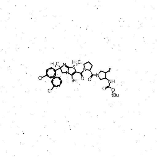 CC(C)C1=C(C(=O)N2[C@H](C)CC[C@H]2C(=O)N2CC(F)C(NC(=O)OC(C)(C)C)C2)SC2=N[C@@](C)(c3ccc(Cl)cc3)[C@@H](c3ccc(Cl)cc3)N21